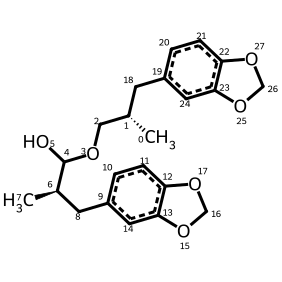 C[C@H](COC(O)[C@H](C)Cc1ccc2c(c1)OCO2)Cc1ccc2c(c1)OCO2